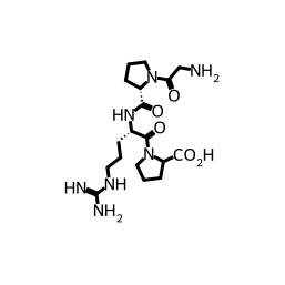 N=C(N)NCCC[C@H](NC(=O)[C@@H]1CCCN1C(=O)CN)C(=O)N1CCCC1C(=O)O